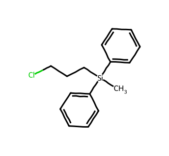 C[Si](CCCCl)(c1ccccc1)c1ccccc1